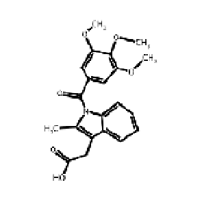 COc1cc(C(=O)n2c(C)c(CC(=O)O)c3ccccc32)cc(OC)c1OC